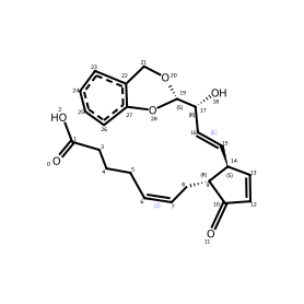 O=C(O)CCC/C=C\C[C@H]1C(=O)C=C[C@@H]1/C=C/[C@@H](O)[C@H]1OCc2ccccc2O1